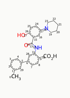 Cc1cccc(-c2ccc(C(=O)O)c(NC(=O)c3cc(N4CCCCC4)ccc3O)c2)c1